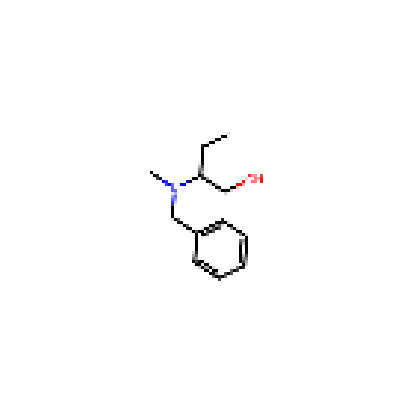 CCC(CO)N(C)Cc1ccccc1